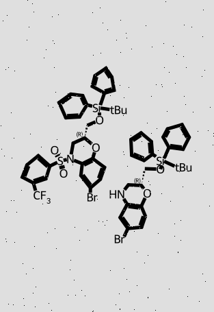 CC(C)(C)[Si](OC[C@H]1CN(S(=O)(=O)c2cccc(C(F)(F)F)c2)c2cc(Br)ccc2O1)(c1ccccc1)c1ccccc1.CC(C)(C)[Si](OC[C@H]1CNc2cc(Br)ccc2O1)(c1ccccc1)c1ccccc1